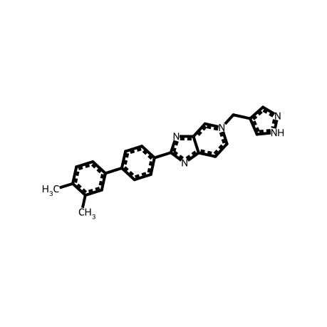 Cc1ccc(-c2ccc(-c3nc4ccn(Cc5cn[nH]c5)cc-4n3)cc2)cc1C